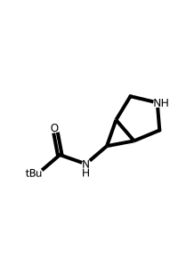 CC(C)(C)C(=O)NC1C2CNCC21